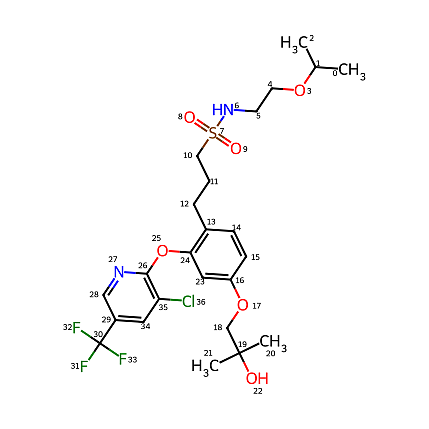 CC(C)OCCNS(=O)(=O)CCCc1ccc(OCC(C)(C)O)cc1Oc1ncc(C(F)(F)F)cc1Cl